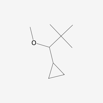 COC(C1CC1)C(C)(C)C